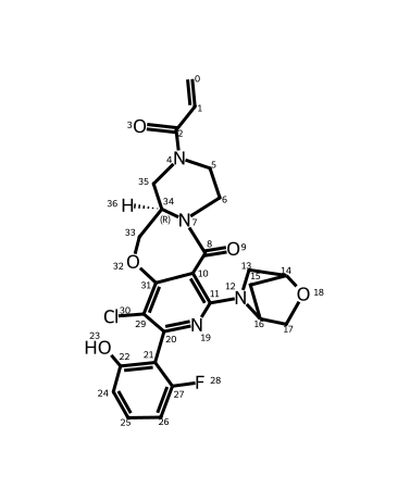 C=CC(=O)N1CCN2C(=O)c3c(N4CC5CC4CO5)nc(-c4c(O)cccc4F)c(Cl)c3OC[C@H]2C1